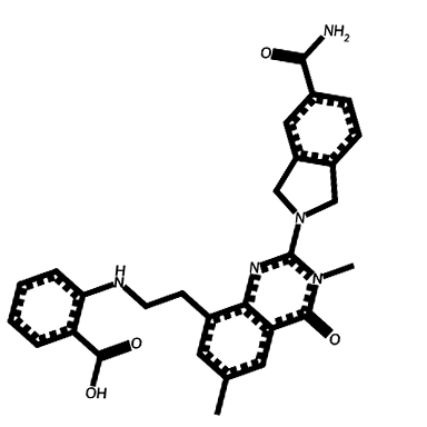 Cc1cc(CCNc2ccccc2C(=O)O)c2nc(N3Cc4ccc(C(N)=O)cc4C3)n(C)c(=O)c2c1